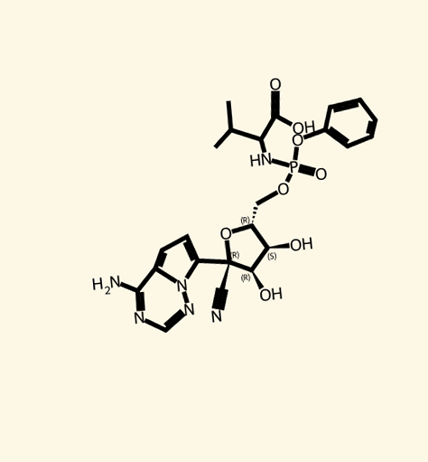 CC(C)C(NP(=O)(OC[C@H]1O[C@@](C#N)(c2ccc3c(N)ncnn23)[C@H](O)[C@@H]1O)Oc1ccccc1)C(=O)O